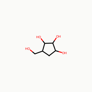 OCC1[CH]C(O)C(O)C1O